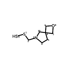 SSCN1CCC2(COC2)C1